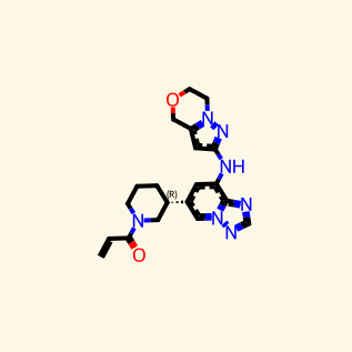 C=CC(=O)N1CCC[C@H](c2cc(Nc3cc4n(n3)CCOC4)c3ncnn3c2)C1